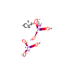 O=[PH]([O-])[O-].O=[PH]([O-])[O-].[Cu+4]